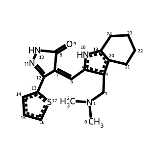 CN(C)Cc1c(C=C2C(=O)NN=C2c2cccs2)[nH]c2c1CCCC2